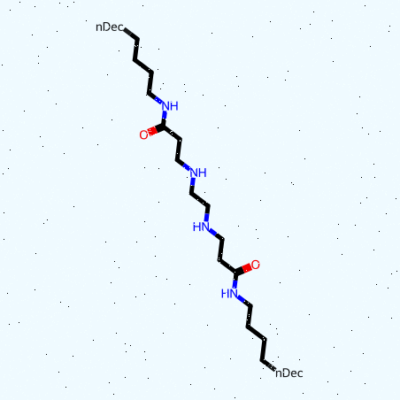 CCCCCCCCCCCCCCNC(=O)CCNCCNCCC(=O)NCCCCCCCCCCCCCC